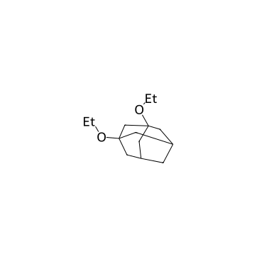 CCOC12CC3CC(C1)CC(OCC)(C3)C2